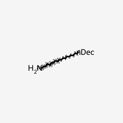 CCCCCCCCCCCCCCCCCCCCCCCCCCCC[CH]N